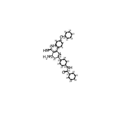 N=C(N)C1=C(c2ccc(Oc3ccccc3)cc2)N=C(c2ccc(NC(=O)c3ccccc3)cc2)CC1N